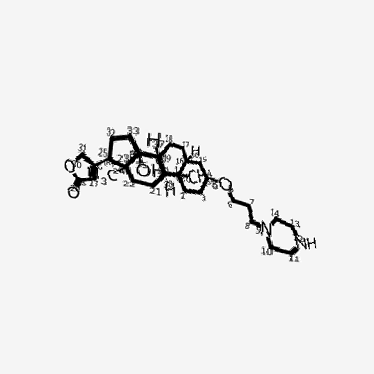 C[C@]12CC[C@H](OCCCN3CCNCC3)C[C@H]1CC[C@@H]1[C@@H]2CC[C@]2(C)[C@@H](C3=CC(=O)OC3)CC[C@]12O